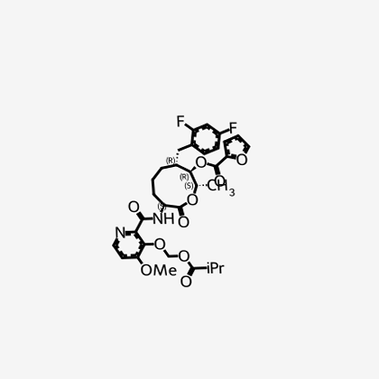 COc1ccnc(C(=O)N[C@H]2CCC[C@H](Cc3ccc(F)cc3F)[C@@H](OC(=O)c3ccco3)[C@H](C)OC2=O)c1OCOC(=O)C(C)C